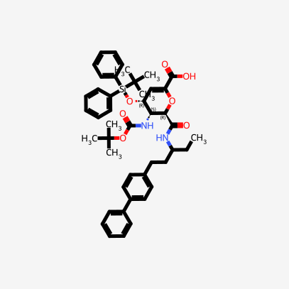 CCC(CCc1ccc(-c2ccccc2)cc1)NC(=O)[C@@H]1OC(C(=O)O)=C[C@@H](O[Si](c2ccccc2)(c2ccccc2)C(C)(C)C)[C@H]1NC(=O)OC(C)(C)C